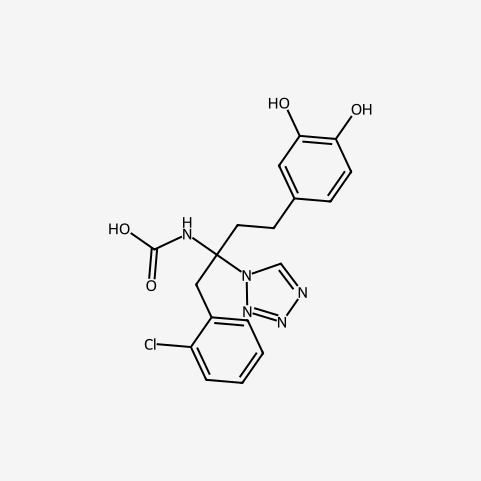 O=C(O)NC(CCc1ccc(O)c(O)c1)(Cc1ccccc1Cl)n1cnnn1